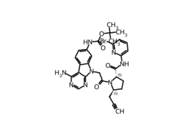 C#CC[C@@H]1CC[C@@H](C(=O)Nc2cccc(Br)n2)N1C(=O)Cn1c2cc(NC(=O)OC(C)(C)C)ccc2c2c(N)ncnc21